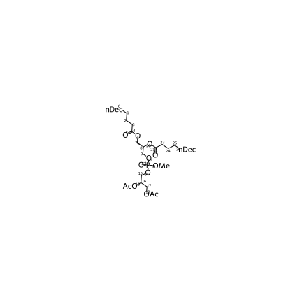 CCCCCCCCCCCCCC(=O)OC[C@H](COP(=O)(OC)OCC(COC(C)=O)OC(C)=O)OC(=O)CCCCCCCCCCCCC